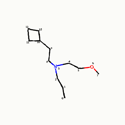 CCCN(CCOC)CCC1CCC1